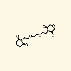 O=C1CCCC(=O)N1CCOCCOCCN1C(=O)COCC1=O